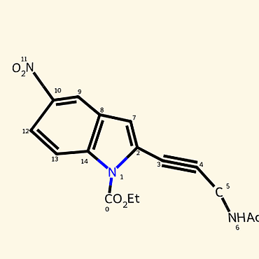 CCOC(=O)n1c(C#CCNC(C)=O)cc2cc([N+](=O)[O-])ccc21